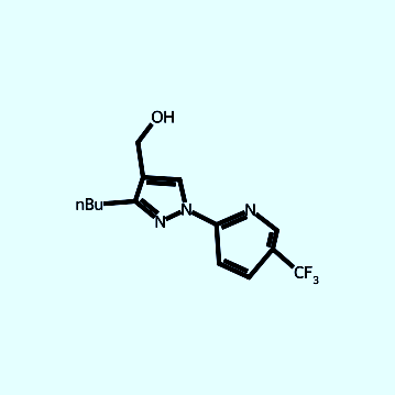 CCCCc1nn(-c2ccc(C(F)(F)F)cn2)cc1CO